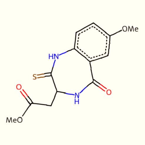 COC(=O)CC1NC(=O)c2cc(OC)ccc2NC1=S